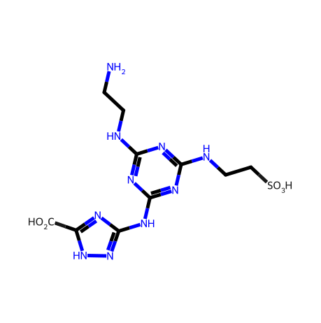 NCCNc1nc(NCCS(=O)(=O)O)nc(Nc2n[nH]c(C(=O)O)n2)n1